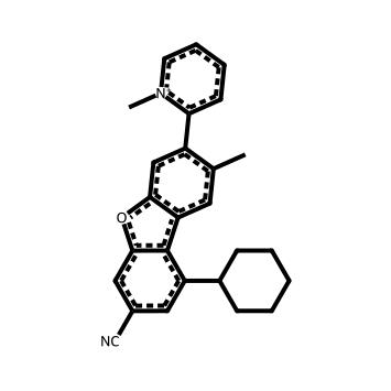 Cc1cc2c(cc1-c1cccc[n+]1C)oc1cc(C#N)cc(C3CCCCC3)c12